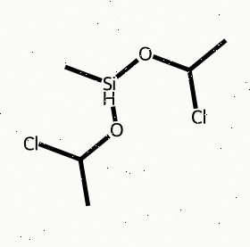 CC(Cl)O[SiH](C)OC(C)Cl